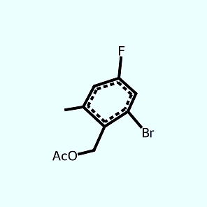 CC(=O)OCc1c(C)cc(F)cc1Br